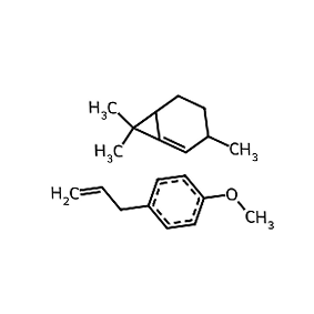 C=CCc1ccc(OC)cc1.CC1C=C2C(CC1)C2(C)C